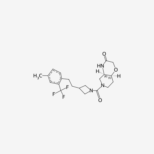 Cc1ccc(CCC2CN(C(=O)N3CC[C@@H]4OCC(=O)N[C@@H]4C3)C2)c(C(F)(F)F)c1